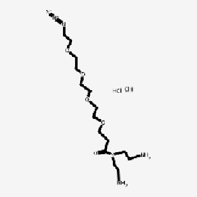 Cl.Cl.[N-]=[N+]=NCCOCCOCCOCCOCCC(=O)N(CCN)CCN